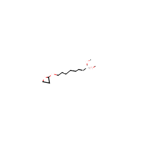 CO[SiH](CCCCCCCOC1CCO1)OC